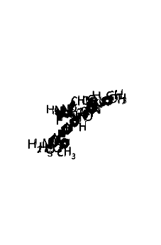 CCOc1nc2[nH]cc(F)c2cc1Oc1cc(N2CCC3(CC2)CC(N2CCN(C(N)=O)C[C@H]2c2ccccc2C(C)C)C3)ccc1C(=O)NS(=O)(=O)c1cnc(NCC2CCC(C)(O)CC2)c([N+](=O)[O-])c1